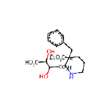 CCOC(=O)[C@@]1(Cc2ccccc2)CCCNC1.O=C(O)C(O)C(O)C(=O)O